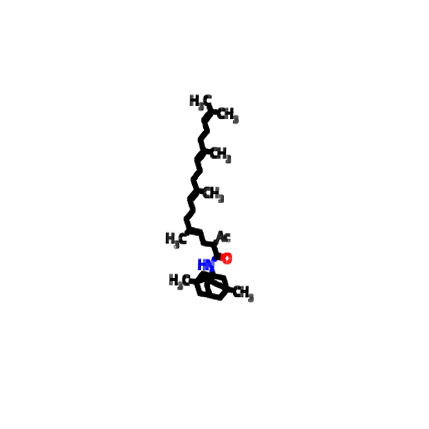 CC(=O)C(C/C=C(\C)CC/C=C(\C)CC/C=C(\C)CCC=C(C)C)C(=O)NC12CC3CC(C)(CC(C)(C3)C1)C2